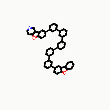 c1cc(-c2cccc(-c3cccc(-c4ccc5oc6ccccc6c5c4)c3)c2)cc(-c2cccc(-c3cccc(-c4ccc5oc6ccncc6c5c4)c3)c2)c1